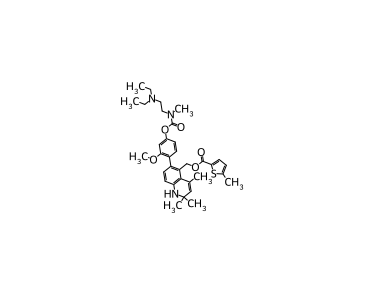 CCN(CC)CCN(C)C(=O)Oc1ccc(-c2ccc3c(c2COC(=O)c2ccc(C)s2)C(C)=CC(C)(C)N3)c(OC)c1